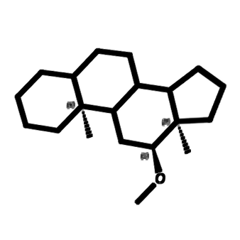 CO[C@H]1CC2C(CCC3CCCC[C@@]32C)C2CCC[C@]21C